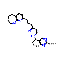 COc1ncc(C(CC(=O)O)N/C=C\C(=N)CCCc2ccc3c(n2)NCCCC3)cn1